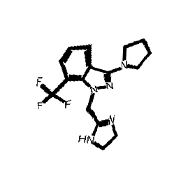 FC(F)(F)c1cccc2c(N3CCCC3)nn(CC3=NCCN3)c12